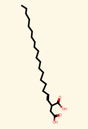 CCCCCCCCCCCCCCCCCC=CC(CC(=O)O)C(=O)O